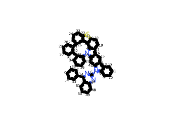 c1ccc(-c2nc(-n3c4ccccc4c4cc5c6ccc7sc8cccc9c%10ccccc%10c%10ccccc%10n(c5cc43)c6c7c89)nc3ccccc23)cc1